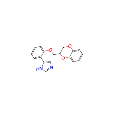 c1ccc2c(c1)OCC(COc1ccccc1-c1cnc[nH]1)O2